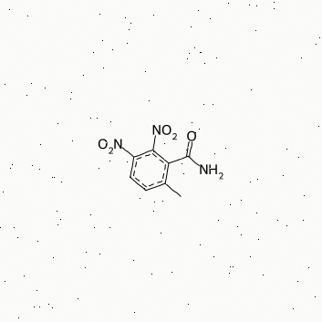 Cc1ccc([N+](=O)[O-])c([N+](=O)[O-])c1C(N)=O